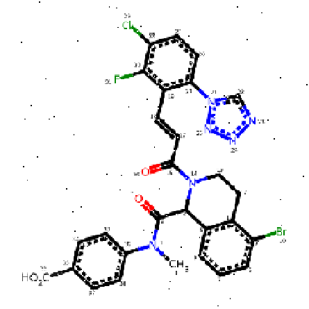 CN(C(=O)C1c2cccc(Br)c2CCN1C(=O)C=Cc1c(-n2cnnn2)ccc(Cl)c1F)c1ccc(C(=O)O)cc1